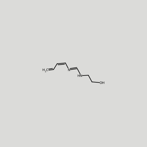 C=C/C=C\N=C\NCCO